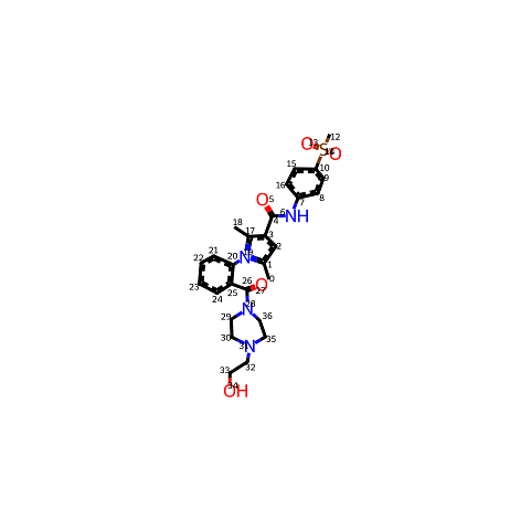 Cc1cc(C(=O)Nc2ccc(S(C)(=O)=O)cc2)c(C)n1-c1ccccc1C(=O)N1CCN(CCO)CC1